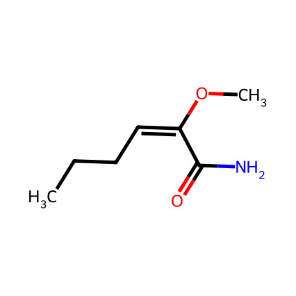 CCC/C=C(/OC)C(N)=O